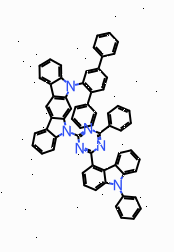 c1ccc(-c2ccc(-c3ccccc3)c(-n3c4ccccc4c4cc5c6ccccc6n(-c6nc(-c7ccccc7)nc(-c7cccc8c7c7ccccc7n8-c7ccccc7)n6)c5cc43)c2)cc1